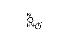 CN1CCCC(Nc2ccc(Br)cc2)C1